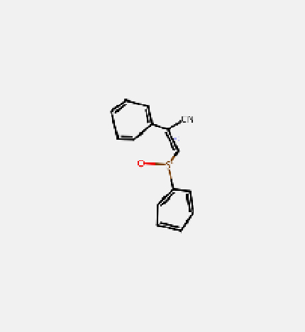 N#C/C(=C/[S+]([O-])c1ccccc1)c1ccccc1